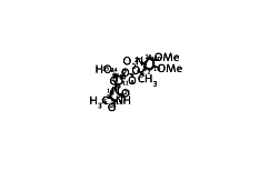 COc1cc(C(C)OC(=O)O[C@H]2C[C@H](n3cc(C)c(=O)[nH]c3=O)O[C@@H]2CO)c([N+](=O)[O-])cc1OC